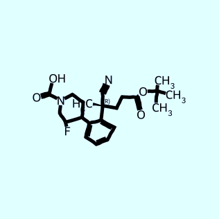 CC(C)(C)OC(=O)CC[C@@](C)(C#N)c1ccccc1C1CCN(C(=O)O)CC1F